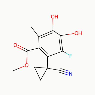 COC(=O)c1c(C)c(O)c(O)c(F)c1C1(C#N)CC1